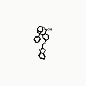 O=C(O)c1ccc(OCc2nc3ccccc3s2)cc1C1(c2ccccc2)CC2CCC1C2